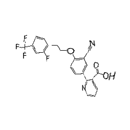 N#Cc1cc(-c2ncccc2C(=O)O)ccc1OCCc1ccc(C(F)(F)F)cc1F